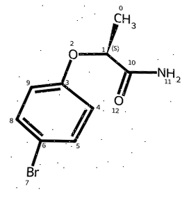 C[C@H](Oc1ccc(Br)cc1)C(N)=O